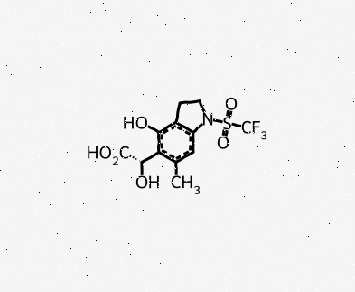 Cc1cc2c(c(O)c1[C@H](O)C(=O)O)CCN2S(=O)(=O)C(F)(F)F